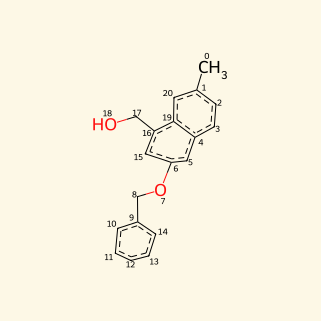 Cc1ccc2cc(OCc3ccccc3)cc(CO)c2c1